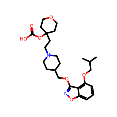 CC(C)COc1cccc2onc(OCC3CCN(CCC4(OC(=O)O)CCOCC4)CC3)c12